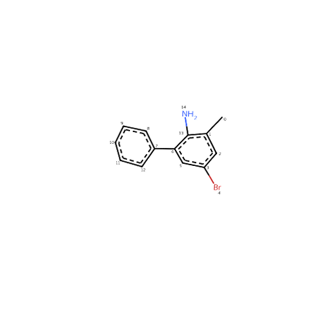 Cc1cc(Br)cc(-c2ccccc2)c1N